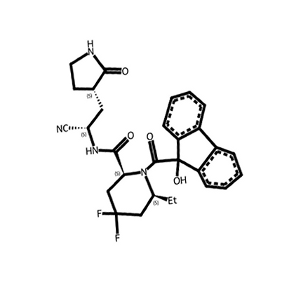 CC[C@H]1CC(F)(F)C[C@@H](C(=O)N[C@H](C#N)C[C@@H]2CCNC2=O)N1C(=O)C1(O)c2ccccc2-c2ccccc21